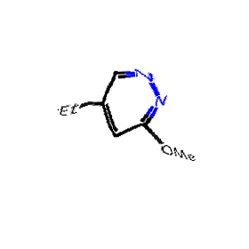 C[CH]c1cnnc(OC)c1